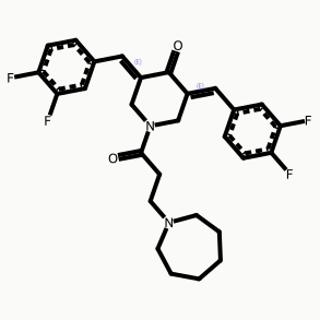 O=C1/C(=C/c2ccc(F)c(F)c2)CN(C(=O)CCN2CCCCCC2)C/C1=C\c1ccc(F)c(F)c1